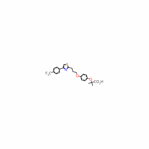 CC(C)(Oc1ccc(OCCCc2nc(-c3ccc(C(F)(F)F)cc3)cs2)cc1)C(=O)O